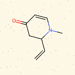 C=CC1CC(=O)C=CN1C